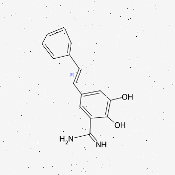 N=C(N)c1cc(/C=C/c2ccccc2)cc(O)c1O